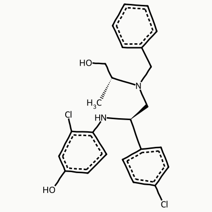 C[C@H](CO)N(Cc1ccccc1)C[C@H](Nc1ccc(O)cc1Cl)c1ccc(Cl)cc1